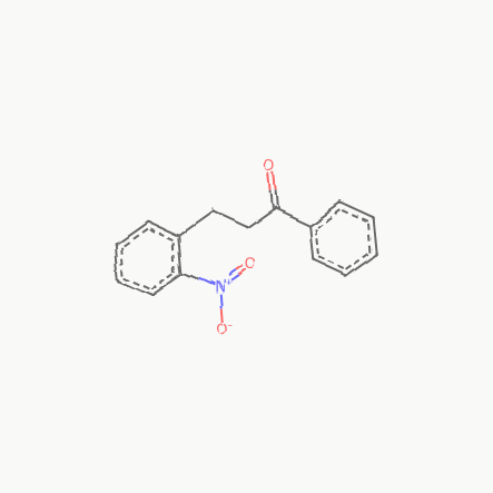 O=C(C[CH]c1ccccc1[N+](=O)[O-])c1ccccc1